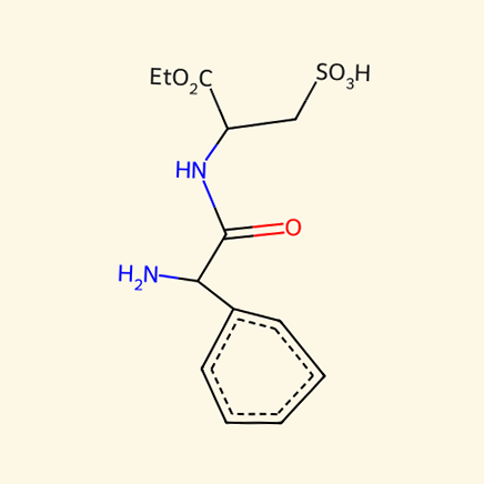 CCOC(=O)C(CS(=O)(=O)O)NC(=O)C(N)c1ccccc1